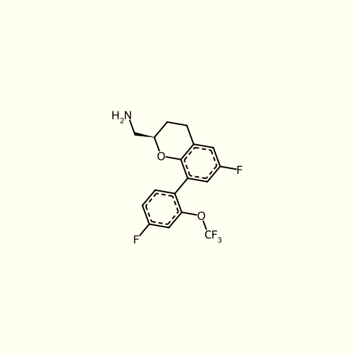 NC[C@H]1CCc2cc(F)cc(-c3ccc(F)cc3OC(F)(F)F)c2O1